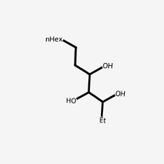 CCCCCCCCC(O)C(O)C(O)CC